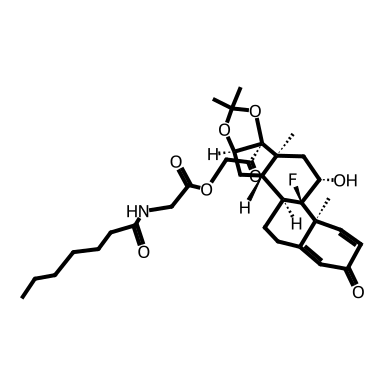 CCCCCCC(=O)NCC(=O)OCC(=O)[C@@]12OC(C)(C)O[C@@H]1C[C@H]1[C@@H]3CCC4=CC(=O)C=C[C@]4(C)[C@@]3(F)[C@@H](O)C[C@@]12C